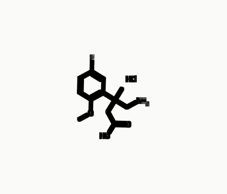 COc1ccc(F)cc1C(C)(CN)CC(=O)O.Cl